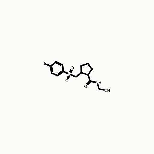 N#CCNC(=O)C1CCCC1CS(=O)(=O)c1ccc(I)cc1